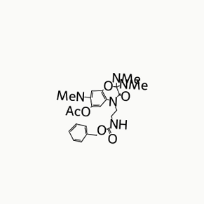 CNc1cc2c(cc1OC(C)=O)N(CCNC(=O)OCc1ccccc1)C(=O)C(NC)(NC)O2